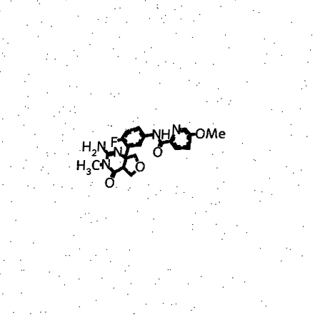 COc1ccc(C(=O)Nc2ccc(F)c(C34COCC3C(=O)N(C)C(N)=N4)c2)nc1